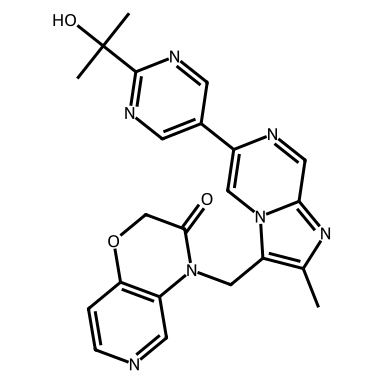 Cc1nc2cnc(-c3cnc(C(C)(C)O)nc3)cn2c1CN1C(=O)COc2ccncc21